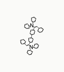 C(=C(c1ccc(-c2ccc(C(=Cc3ccccc3)N(c3ccccc3)c3ccccc3)cc2)cc1)N(c1ccccc1)c1ccccc1)c1ccccc1